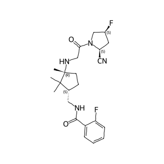 CC1(C)[C@@H](CNC(=O)c2ccccc2F)CC[C@@]1(C)NCC(=O)N1C[C@@H](F)C[C@H]1C#N